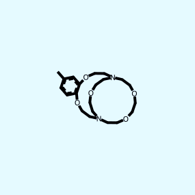 Cc1ccc2c(c1)OCCN1CCOCCOCCN(CCOCC1)CCO2